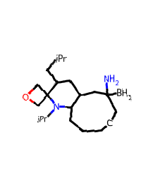 BC1(N)CCCCCC2C(CC(CC(C)C)C3(COC3)N2C(C)C)C1